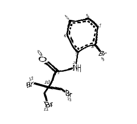 O=C(Nc1ccccc1Br)C(Br)(Br)Br